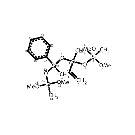 C=C[Si](C)(O[Si](C)(OC)OC)O[Si](C)(O[Si](C)(OC)OC)c1ccccc1